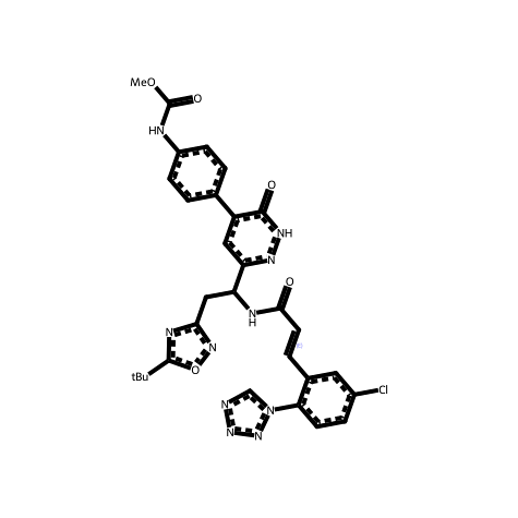 COC(=O)Nc1ccc(-c2cc(C(Cc3noc(C(C)(C)C)n3)NC(=O)/C=C/c3cc(Cl)ccc3-n3cnnn3)n[nH]c2=O)cc1